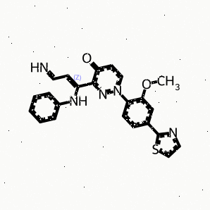 COc1cc(-c2nccs2)ccc1-n1ccc(=O)c(/C(=C/C=N)Nc2ccccc2)n1